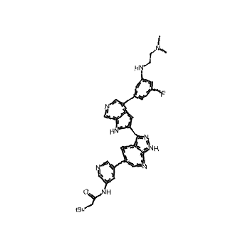 CN(C)CCNc1cc(F)cc(-c2cncc3[nH]c(-c4n[nH]c5ncc(-c6cncc(NC(=O)CC(C)(C)C)c6)cc45)cc23)c1